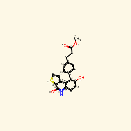 COC(=O)CCc1ccc(-c2c(O)ccc3[nH]c(=O)c4sccc4c23)cc1